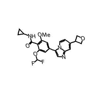 COc1cc(-c2cnc3cc(C4COC4)ccn23)cc(OC(F)F)c1C(=O)NC1CC1